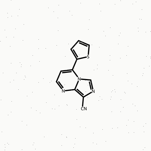 N#Cc1ncn2c(-c3cccs3)ccnc12